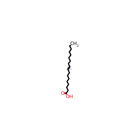 C=CCCCCCC/C=C/CCCCCCCC(=O)O